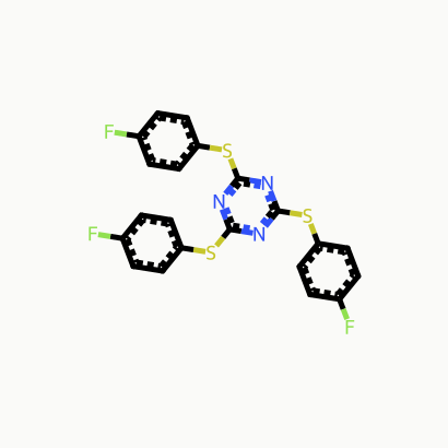 Fc1ccc(Sc2nc(Sc3ccc(F)cc3)nc(Sc3ccc(F)cc3)n2)cc1